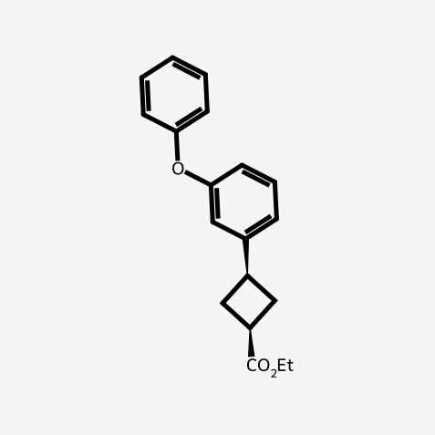 CCOC(=O)[C@H]1C[C@@H](c2cccc(Oc3ccccc3)c2)C1